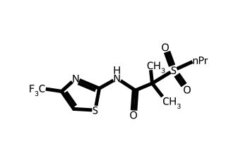 CCCS(=O)(=O)C(C)(C)C(=O)Nc1nc(C(F)(F)F)cs1